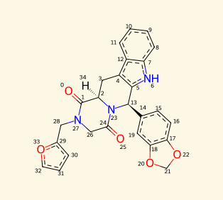 O=C1[C@H]2Cc3c([nH]c4ccccc34)[C@@H](c3ccc4c(c3)OCO4)N2C(=O)CN1Cc1ccco1